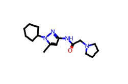 Cc1cc(NC(=O)CN2CCCC2)nn1C1CCCCC1